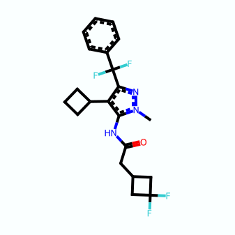 Cn1nc(C(F)(F)c2ccccc2)c(C2CCC2)c1NC(=O)CC1CC(F)(F)C1